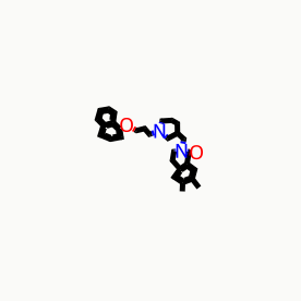 Cc1cc2c(cc1C)C(=O)N(CC1CCCN(CCCOc3cccc4ccccc34)C1)CC2